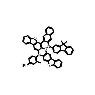 Cc1cc(C(C)(C)C)ccc1N1c2cc3sc4ccccc4c3cc2B2c3c1cc1c(oc4ccccc41)c3-c1cc3ccccc3cc1N2c1ccc2c(c1)C(C)(C)c1ccccc1-2